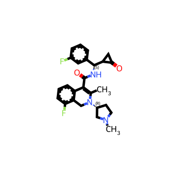 CC1=C(C(=O)N[C@H](c2cccc(F)c2)C2CC2=O)c2cccc(F)c2CN1[C@@H]1CCN(C)C1